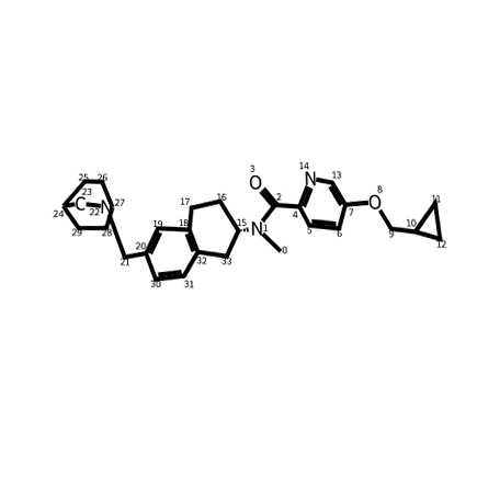 CN(C(=O)c1ccc(OCC2CC2)cn1)[C@H]1CCc2cc(CN3CC4CCC3CC4)ccc2C1